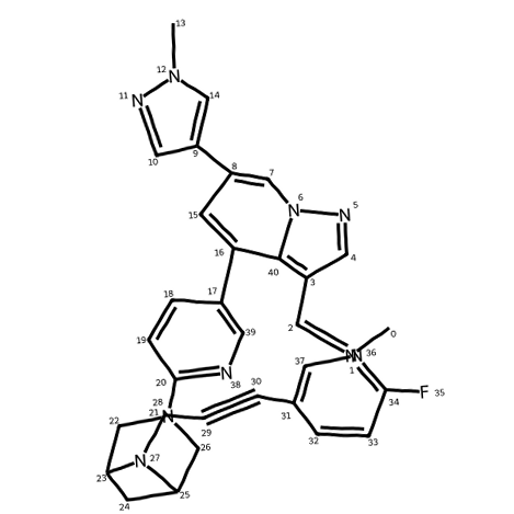 C/N=C\c1cnn2cc(-c3cnn(C)c3)cc(-c3ccc(N4CC5CC(C4)N5CC#Cc4ccc(F)nc4)nc3)c12